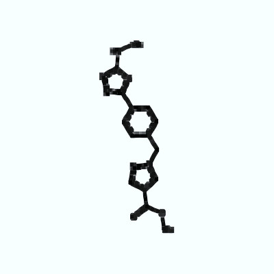 CCCCNc1nnc(-c2ccc(Cn3cc(C(=O)OC(C)(C)C)cn3)cc2)s1